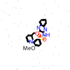 COc1ccc(S(=O)(=O)Nc2nc3ccccc3nc2OCc2cccnc2)cc1